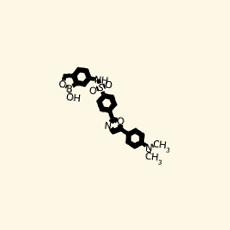 CN(C)c1ccc(-c2cnc(-c3ccc(S(=O)(=O)Nc4ccc5c(c4)B(O)OC5)cc3)o2)cc1